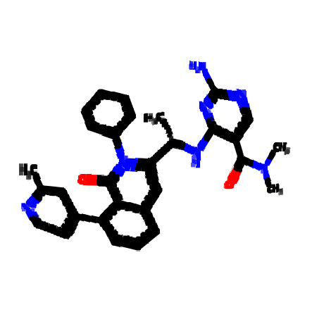 Cc1cc(-c2cccc3cc([C@H](C)Nc4nc(N)ncc4C(=O)N(C)C)n(-c4ccccc4)c(=O)c23)ccn1